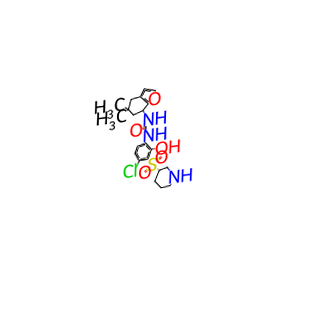 CC1(C)Cc2ccoc2C(NC(=O)Nc2ccc(Cl)c(S(=O)(=O)[C@H]3CCCNC3)c2O)C1